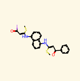 CS/C(=C\C(=O)I)Nc1cccc2c(N/C(=C/C(=O)c3ccccc3)SC)cccc12